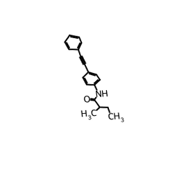 CCC(C)C(=O)Nc1ccc(C#Cc2ccccc2)cc1